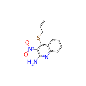 C=CCSc1c([N+](=O)[O-])c(N)nc2ccccc12